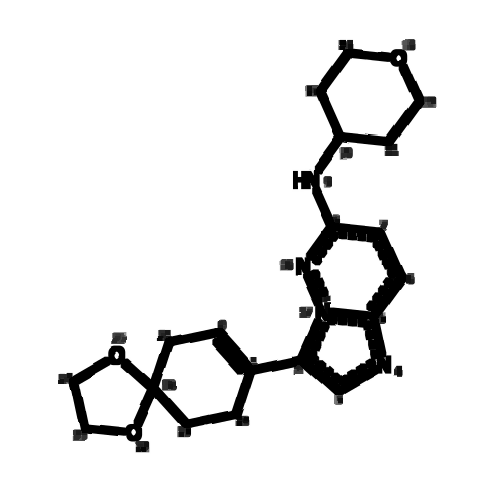 C1=C(c2cnc3ccc(NC4CCOCC4)nn23)CCC2(C1)OCCO2